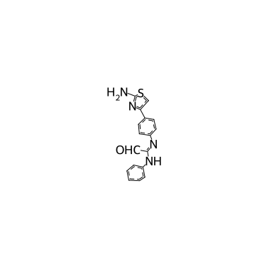 Nc1nc(-c2ccc(/N=C(\C=O)Nc3ccccc3)cc2)cs1